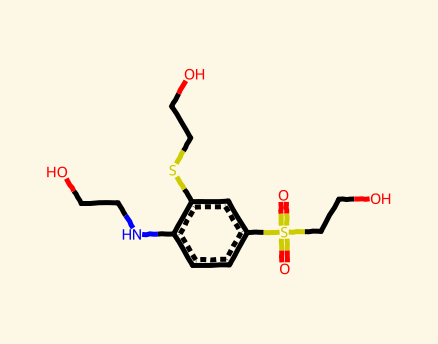 O=S(=O)(CCO)c1ccc(NCCO)c(SCCO)c1